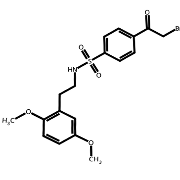 COc1ccc(OC)c(CCNS(=O)(=O)c2ccc(C(=O)CBr)cc2)c1